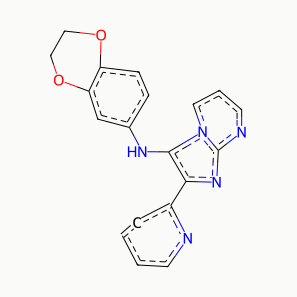 c1ccc(-c2nc3ncccn3c2Nc2ccc3c(c2)OCCO3)nc1